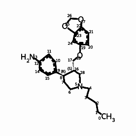 CCCCCN1CC[C@@H](c2ccc(N)cc2)[C@H](COc2ccc3c(c2)OCO3)C1